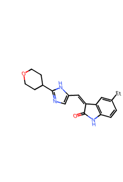 CCc1ccc2c(c1)/C(=C/c1cnc(C3CCOCC3)[nH]1)C(=O)N2